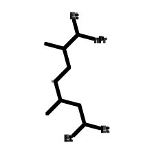 CCCC(CC)C(C)C[CH]C(C)CC(CC)CC